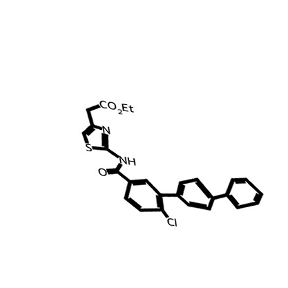 CCOC(=O)Cc1csc(NC(=O)c2ccc(Cl)c(-c3ccc(-c4ccccc4)cc3)c2)n1